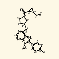 CCn1c(-c2cnc(C)nc2)nc2c(OC3CCN(C(=O)C4CC4CF)C3)ncnc21